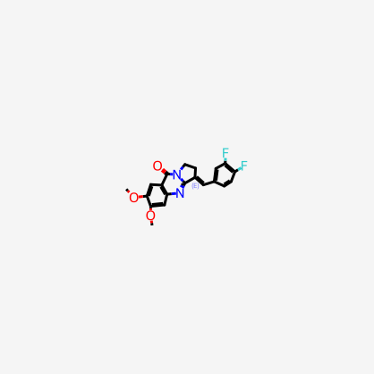 COc1cc2nc3n(c(=O)c2cc1OC)CC/C3=C\c1ccc(F)c(F)c1